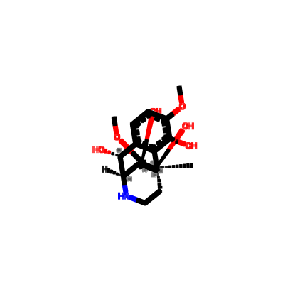 COC1=C2[C@H]3NCC[C@@]2(c2c(ccc(OC)c2O)[C@H]3O)[C@H](C)[C@H](O)[C@@H]1O